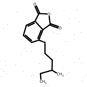 CCC(C)CCCc1cccc2c1C(=O)OC2=O